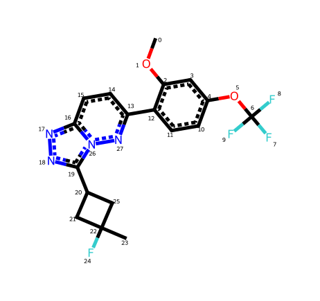 COc1cc(OC(F)(F)F)ccc1-c1ccc2nnc(C3CC(C)(F)C3)n2n1